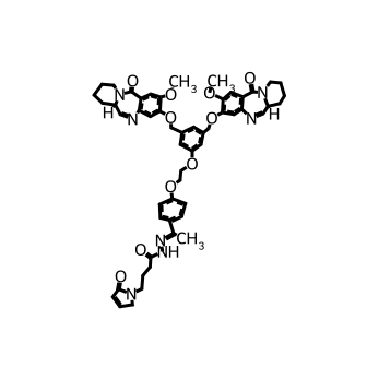 COc1cc2c(cc1OCc1cc(COc3cc4c(cc3OC)C(=O)N3CCCC[C@H]3C=N4)cc(OCCOc3ccc(/C(C)=N/NC(=O)CCCN4CC=CC4=O)cc3)c1)N=C[C@@H]1CCCCN1C2=O